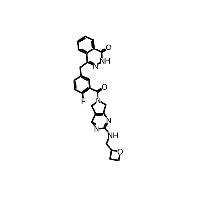 O=C(c1cc(Cc2n[nH]c(=O)c3ccccc23)ccc1F)N1Cc2cnc(NCC3CCO3)nc2C1